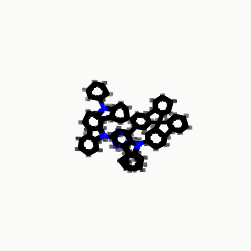 c1ccc(-c2nc(-c3ccc4c(c3)C3(c5ccccc5-4)c4ccccc4-c4ccc(-n5c6ccccc6c6ccccc65)cc43)nc(-n3c4ccccc4c4ccc5c(c6ccccc6n5-c5ccccc5)c43)n2)cc1